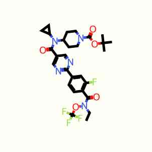 CCN(OC(F)(F)F)C(=O)c1ccc(-c2ncc(C(=O)N(C3CC3)C3CCN(C(=O)OC(C)(C)C)CC3)cn2)cc1F